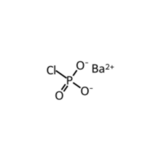 O=P([O-])([O-])Cl.[Ba+2]